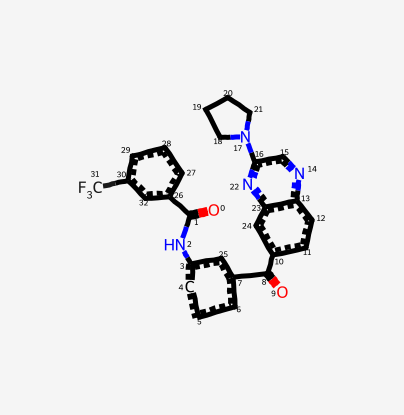 O=C(Nc1cccc(C(=O)c2ccc3ncc(N4CCCC4)nc3c2)c1)c1cccc(C(F)(F)F)c1